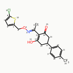 CCC(=NOCc1ccc(Cl)s1)C1=C(O)CC(c2ccc(C(F)(F)F)cc2)CC1=O